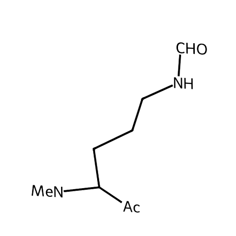 CNC(CCCNC=O)C(C)=O